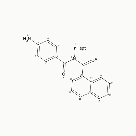 CCCCCCCN(C(=O)c1ccc(N)cc1)C(=O)c1cccc2ccccc12